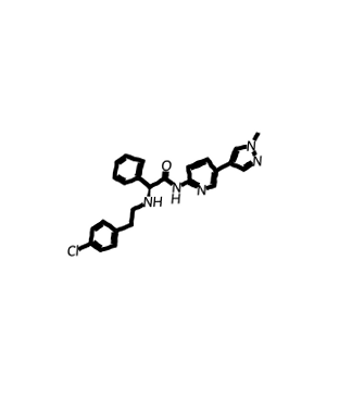 Cn1cc(-c2ccc(NC(=O)[C@@H](NCCc3ccc(Cl)cc3)c3ccccc3)nc2)cn1